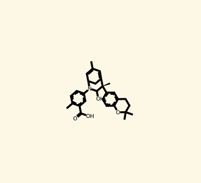 CC1=CC2CC(=C1)[C@](C)(c1ccc3c(c1)CCC(C)(C)O3)C(O)N2c1ccc(C)c(C(=O)O)c1